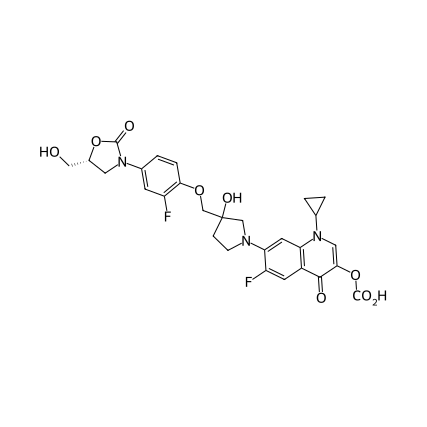 O=C(O)Oc1cn(C2CC2)c2cc(N3CCC(O)(COc4ccc(N5C[C@H](CO)OC5=O)cc4F)C3)c(F)cc2c1=O